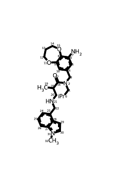 CC(C)CN(Cc1cc(N)c2c(c1)OCCCO2)C(=O)C(C)CNCc1cccc2c1ccn2C